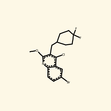 COc1nc2ccc(Br)cc2c(Cl)c1CC1CCC(F)(F)CC1